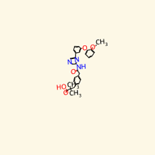 CCOc1ccccc1Oc1cccc(-c2cncc(NC(=O)Cc3ccc(CC(C)(C)C(=O)O)cc3)n2)c1